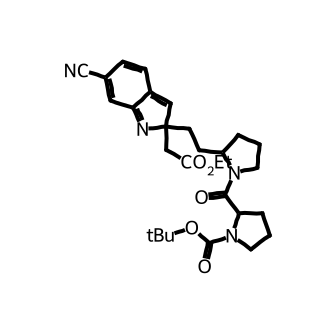 CCOC(=O)CC1(CCC2CCCN2C(=O)C2CCCN2C(=O)OC(C)(C)C)C=c2ccc(C#N)cc2=N1